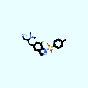 Cc1ccc(S(=O)(=O)n2ncc3cc(C[C@@H](CN)N(C)C)cc(F)c32)cc1